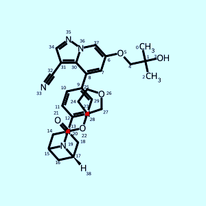 CC(C)(O)COc1cc(-c2ccc(N3CC4C[C@@H](C3)N4C(=O)OC3CCOC3)nc2)c2c(C#N)cnn2c1